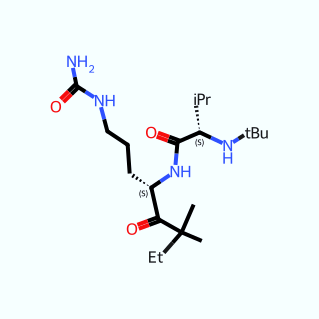 CCC(C)(C)C(=O)[C@H](CCCNC(N)=O)NC(=O)[C@@H](NC(C)(C)C)C(C)C